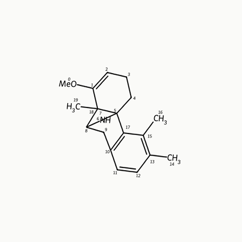 COC1=CCCC23CNC(Cc4ccc(C)c(C)c42)C13C